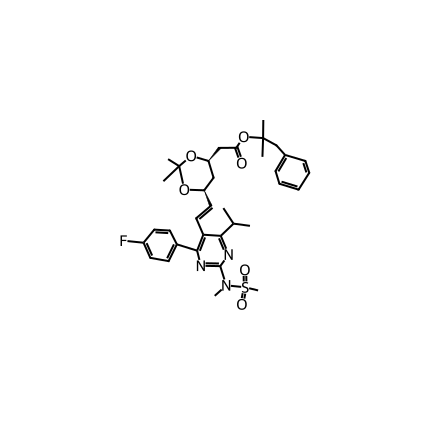 CC(C)c1nc(N(C)S(C)(=O)=O)nc(-c2ccc(F)cc2)c1/C=C/[C@@H]1C[C@H](CC(=O)OC(C)(C)Cc2ccccc2)OC(C)(C)O1